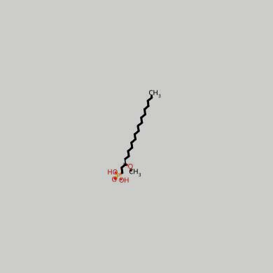 CCCCCCCCCCCCCCCCC[C@H](CCP(=O)(O)O)OC